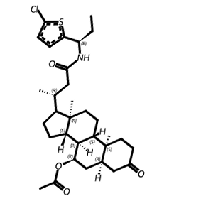 CC[C@@H](NC(=O)C[C@@H](C)C1CC[C@H]2[C@@H]3[C@H](OC(C)=O)C[C@@H]4CC(=O)CC[C@]4(C)[C@H]3CC[C@]12C)c1ccc(Cl)s1